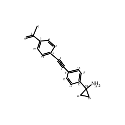 C=C(C)c1ccc(C#Cc2ccc(C3(N)CC3)cc2)cc1